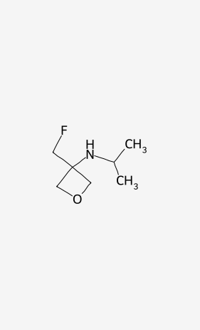 CC(C)NC1(CF)COC1